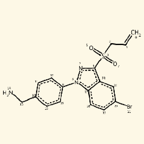 C=CCS(=O)(=O)c1nn(-c2ccc(CN)cc2)c2ccc(Br)cc12